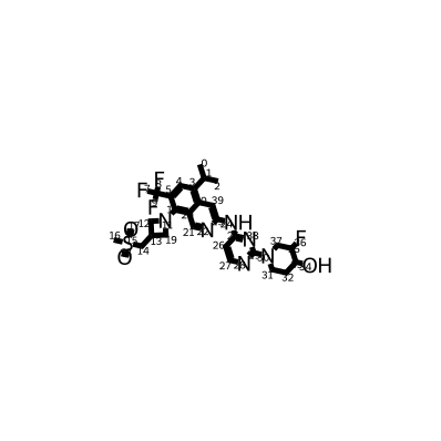 CC(C)c1cc(C(F)(F)F)c(N2CC(CS(C)(=O)=O)C2)c2cnc(Nc3ccnc(N4CCC(O)C(F)C4)n3)cc12